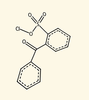 O=C(c1ccccc1)c1ccccc1S(=O)(=O)OCl